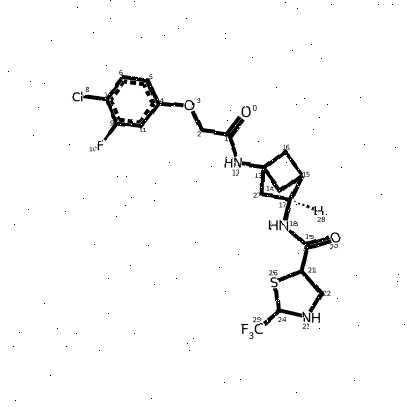 O=C(COc1ccc(Cl)c(F)c1)NC12CC(C1)[C@@H](NC(=O)C1CNC(C(F)(F)F)S1)C2